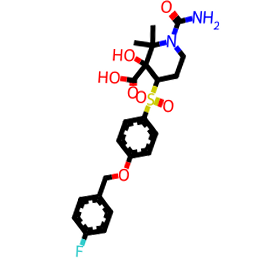 CC1(C)N(C(N)=O)CCC(S(=O)(=O)c2ccc(OCc3ccc(F)cc3)cc2)C1(O)C(=O)O